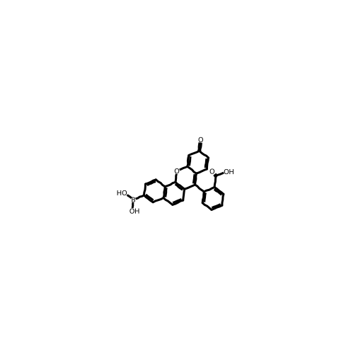 O=C(O)c1ccccc1-c1c2ccc(=O)cc-2oc2c1ccc1cc(B(O)O)ccc12